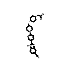 N#Cc1ccc2[nH]c(-c3ccc(N4CCC(O[C@H]5CC[C@H](CC(=O)O)CC5)CC4)nc3)nc2c1